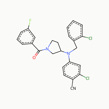 N#Cc1ccc(N(Cc2ccccc2Cl)C2CCN(C(=O)c3cccc(F)c3)C2)cc1Cl